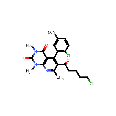 Cc1nc2c(c(-c3cc([N+](=O)[O-])ccc3Cl)c1C(=O)CCCCCl)c(=O)n(C)c(=O)n2C